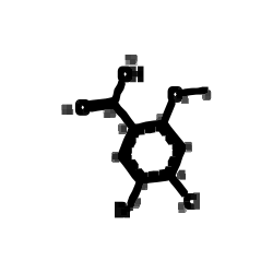 COc1cc(Cl)c(Br)cc1C(=O)O